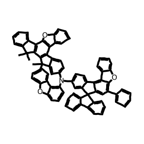 CC1(C)c2ccccc2-c2c1c1c(c3c2oc2ccccc23)-c2ccc(N(c3ccc4c(c3)C3(c5ccccc5-c5ccccc53)c3cc(-c5ccccc5)c5oc6ccccc6c5c3-4)c3cccc4oc5ccccc5c34)cc2C1(C)C